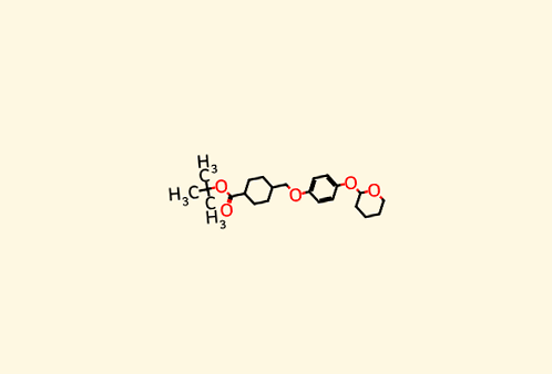 CC(C)(C)OC(=O)C1CCC(COc2ccc(OC3CCCCO3)cc2)CC1